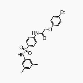 CCc1ccc(OCC(=O)Nc2ccc(S(=O)(=O)Nc3cc(C)cc(C)c3)cc2)cc1